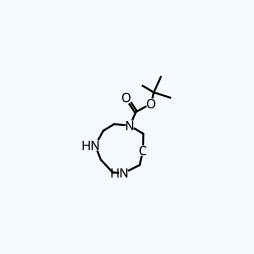 CC(C)(C)OC(=O)N1CCCNCCNCC1